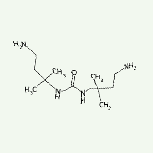 CC(C)(CCN)NC(=O)NC(C)(C)CCN